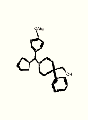 COc1ccc(C(C2CCCC2)N2CCC(CO)(c3ccccc3)CC2)cc1